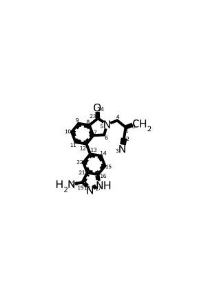 C=C(C#N)CN1Cc2c(cccc2-c2ccc3[nH]nc(N)c3c2)C1=O